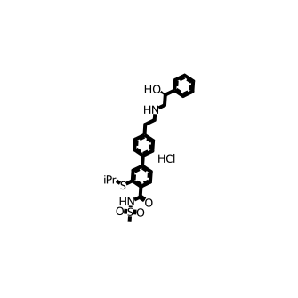 CC(C)Sc1cc(-c2ccc(CCNC[C@@H](O)c3ccccc3)cc2)ccc1C(=O)NS(C)(=O)=O.Cl